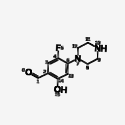 O=Cc1cc(F)c(N2CCNCC2)cc1O